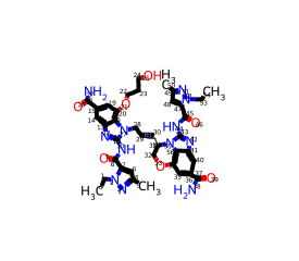 CCn1nc(C)cc1C(=O)Nc1nc2cc(C(N)=O)cc(OCCCO)c2n1C/C=C/[C@H]1COc2cc(C(N)=O)cc3nc(NC(=O)c4cc(C)nn4CC)n1c23